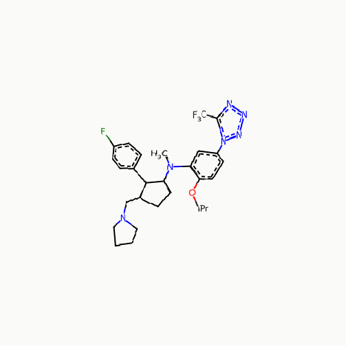 CC(C)Oc1ccc(-n2nnnc2C(F)(F)F)cc1N(C)C1CCC(CN2CCCC2)C1c1ccc(F)cc1